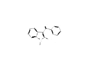 CCOC(=O)c1c(C(=O)c2ccccc2)c2ccccc2n1C